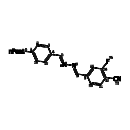 CCCCCc1ccc(C=NN=Cc2ccc(C#N)c(F)c2)cc1